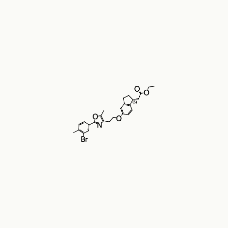 CCOC(=O)C[C@@H]1CCc2cc(OCCc3nc(-c4ccc(C)c(Br)c4)oc3C)ccc21